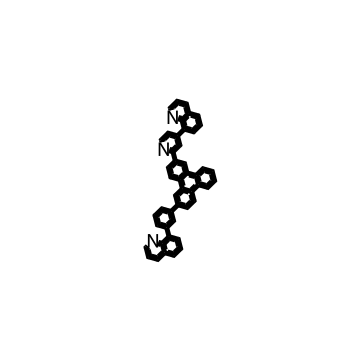 c1cc(-c2ccc3c4ccccc4c4cc(-c5cc(-c6cccc7cccnc67)ccn5)ccc4c3c2)cc(-c2cccc3cccnc23)c1